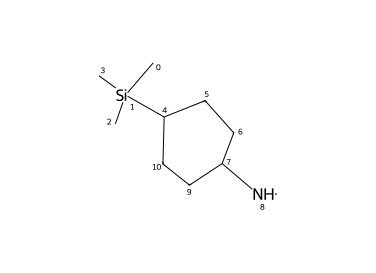 C[Si](C)(C)C1CCC([NH])CC1